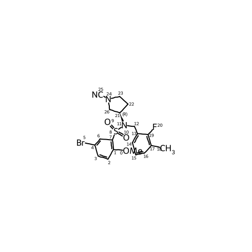 COc1ccc(Br)cc1S(=O)(=O)N(Cc1cccc(C)c1F)[C@@H]1CCN(C#N)C1